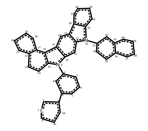 c1ccc(-c2cccc(-n3c4cc5c(cc4c4c6ccccc6ccc43)c3ccccc3n5-c3ccc4ccccc4c3)c2)cc1